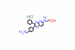 Cl.NCc1ccc(-c2nc3ccc(NCCO)nc3nc2-c2ccccc2)cc1